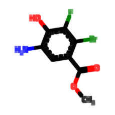 COC(=O)c1cc(N)c(O)c(F)c1Br